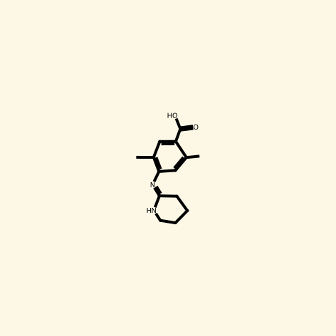 Cc1cc(C(=O)O)c(C)cc1/N=C1\CCCCN1